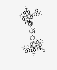 Cc1cc(-c2ccc(-c3ccc([C@H]4O[C@H](COC(=O)C(C)(C)C)[C@@H](OC(=O)C(C)(C)C)[C@H](OP)[C@@H]4OC(=O)C(C)(C)C)c(C)c3)nc2C)ccc1[C@H]1O[C@H](COC(=O)C(C)(C)C)[C@@H](OC(=O)C(C)(C)C)[C@H](OC(=O)C(C)(C)C)[C@@H]1OP